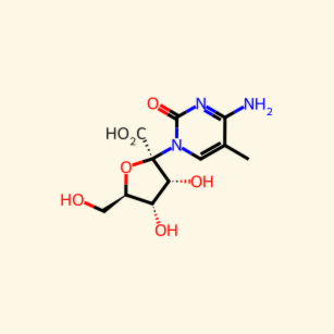 Cc1cn([C@]2(C(=O)O)O[C@H](CO)[C@@H](O)[C@H]2O)c(=O)nc1N